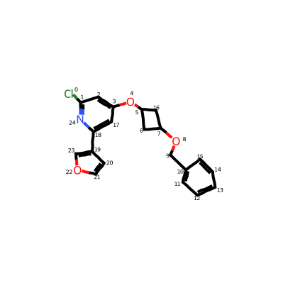 Clc1cc(OC2CC(OCc3ccccc3)C2)cc(-c2ccoc2)n1